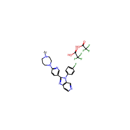 CC(=O)N1CCCN(c2ccc(-c3nc4ccncc4n3-c3ccc(F)cc3)cn2)CC1.O=C(O)C(F)(F)F.O=C(O)C(F)(F)F